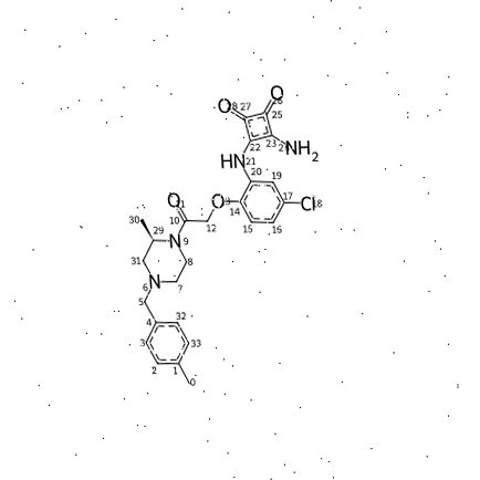 Cc1ccc(CN2CCN(C(=O)COc3ccc(Cl)cc3Nc3c(N)c(=O)c3=O)[C@H](C)C2)cc1